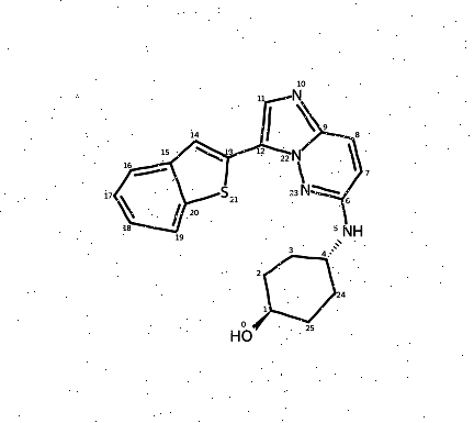 O[C@H]1CC[C@H](Nc2ccc3ncc(-c4cc5ccccc5s4)n3n2)CC1